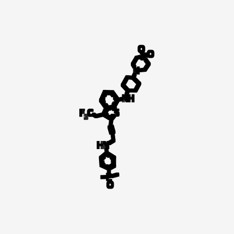 CP(C)(=O)c1ccc(NCC#Cc2sc3c(NC4CCC(N5CCS(=O)(=O)CC5)CC4)cccc3c2CC(F)(F)F)cc1